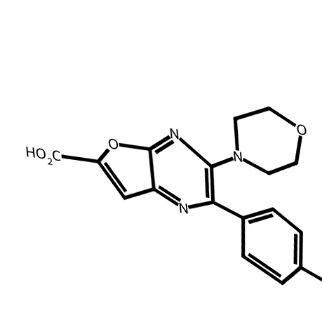 O=C(O)c1cc2nc(-c3ccc(F)cc3)c(N3CCOCC3)nc2o1